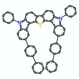 c1ccc(-c2ccc(-c3ccc4c(c3)c3c5sc6c(ccc7c6c6cc(-c8ccc(-c9ccccc9)cc8)ccc6n7-c6ccccc6)c5ccc3n4-c3ccccc3)cc2)cc1